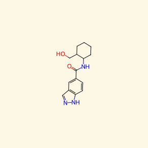 O=C(NC1CCCCC1CO)c1ccc2[nH]ncc2c1